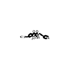 O=c1c2ccc(Cl)cc2[nH]c2c(O)nn(CC#Cc3ccncc3)c(=O)c12